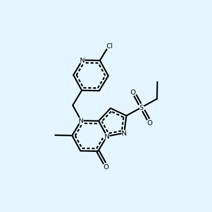 CCS(=O)(=O)c1cc2n(Cc3ccc(Cl)nc3)c(C)cc(=O)n2n1